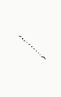 [3H]C/N=N/N=N/N=N/N=N/N=N/N